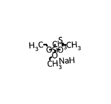 CCO[Si](C)(OCC)OC(C)=S.[NaH]